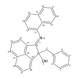 OC1(Cc2ccccc2)/C(=N/c2cccc3ccccc23)c2cccc3cccc1c23